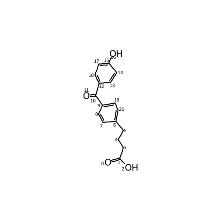 O=C(O)CCCc1ccc(C(=O)c2ccc(O)cc2)cc1